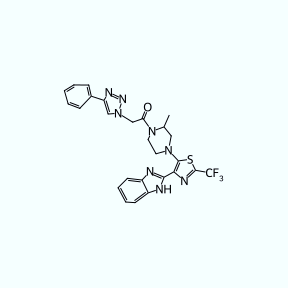 CC1CN(c2sc(C(F)(F)F)nc2-c2nc3ccccc3[nH]2)CCN1C(=O)Cn1cc(-c2ccccc2)nn1